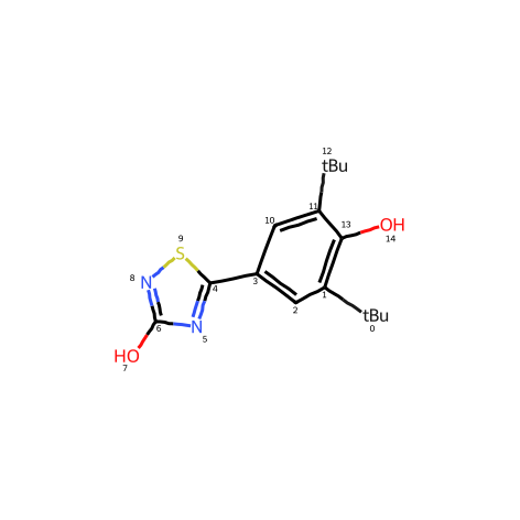 CC(C)(C)c1cc(-c2nc(O)ns2)cc(C(C)(C)C)c1O